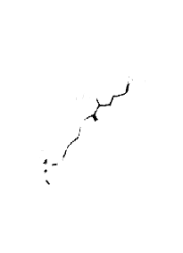 CO[PH](=O)OCCNC(=O)C(N)CCCN